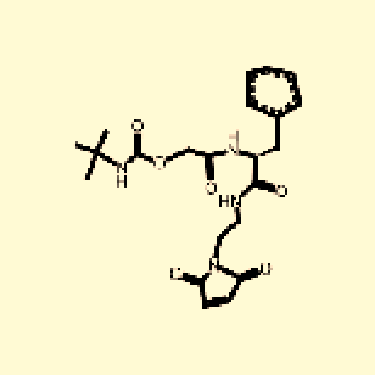 CC(C)(C)NC(=O)OCC(=O)N[C@@H](Cc1ccccc1)C(=O)NCCN1C(=O)C=CC1=O